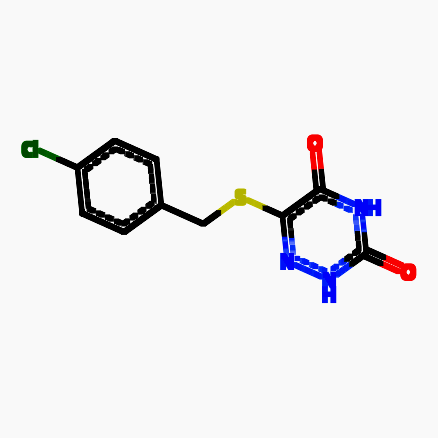 O=c1[nH]nc(SCc2ccc(Cl)cc2)c(=O)[nH]1